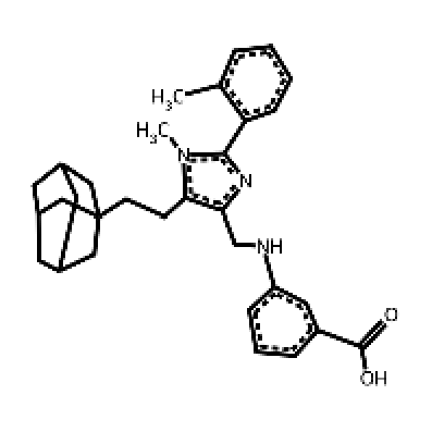 Cc1ccccc1-c1nc(CNc2cccc(C(=O)O)c2)c(CCC23CC4CC(CC(C4)C2)C3)n1C